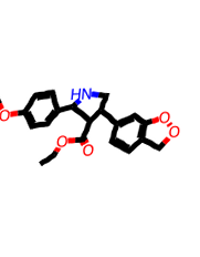 CCOC(=O)C1C(c2ccc3c(c2)OOC3)CNC1c1ccc(OC)cc1